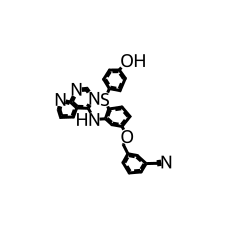 N#Cc1cccc(COc2ccc(Sc3ccc(O)cc3)c(Nc3ncnc4ncccc34)c2)c1